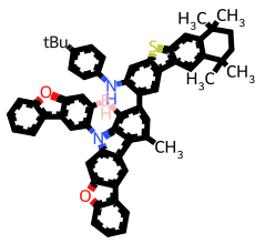 Cc1cc(-c2cc3c(cc2Nc2ccc(C(C)(C)C)cc2)sc2cc4c(cc23)C(C)(C)CCC4(C)C)c2c3c1c1cc4c(cc1n3-c1cc3c(cc1B2)oc1ccccc13)oc1ccccc14